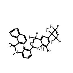 CN(C(=O)c1cccc2ccccc12)c1cccc(C(=O)Nc2c(Br)cc(C(F)(C(F)(F)F)C(F)(F)F)cc2C(F)(F)F)c1F